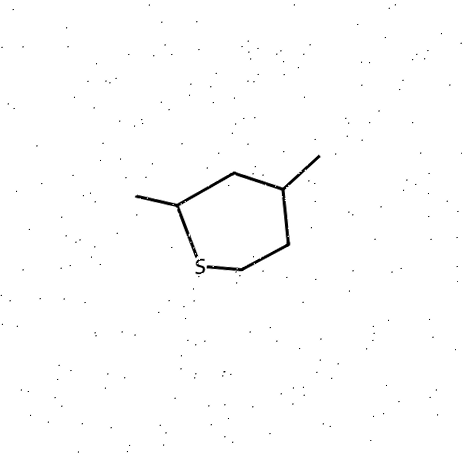 CC1CCSC(C)C1